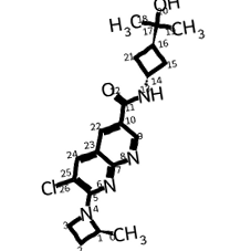 C[C@H]1CCN1c1nc2ncc(C(=O)N[C@H]3C[C@H](C(C)(C)O)C3)cc2cc1Cl